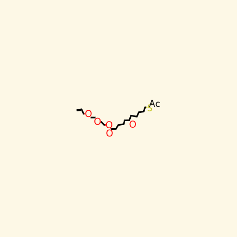 C=CCOCCOCCOC(=O)CCCCC(=O)CCCCCSC(C)=O